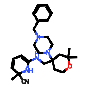 CC1(C#N)C=CC=C(NCC2(N3CCN(Cc4ccccc4)CC3)CCOC(C)(C)C2)N1